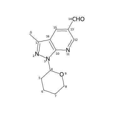 Cc1nn(C2CCCCO2)c2ncc(C=O)cc12